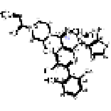 C=CC(=O)N1CCN(/C(=N/C)c2cc(Cl)c(-c3c(O)cccc3F)nc2N(C=O)c2ncsc2C(C)C)C(C)C1